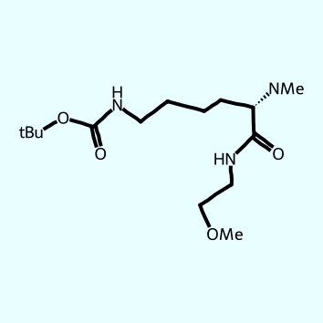 CN[C@@H](CCCCNC(=O)OC(C)(C)C)C(=O)NCCOC